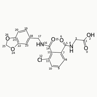 O=C(O)CNC(=O)c1cccc(Cl)c1C(=O)NCc1ccc2c(c1)OCO2